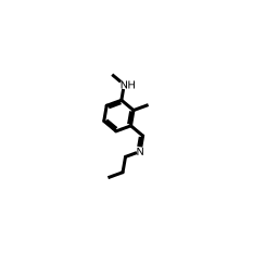 CCC/N=C\c1cccc(NC)c1C